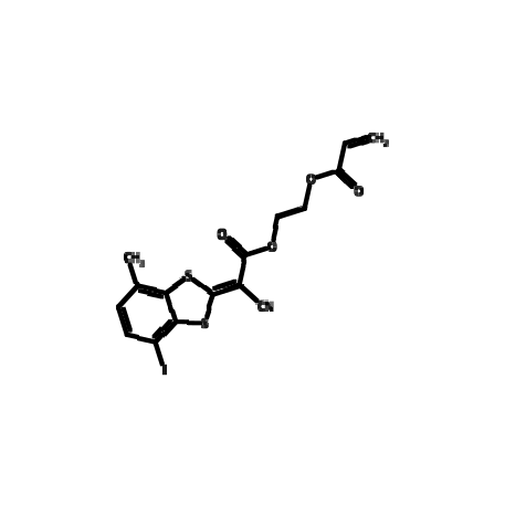 C=CC(=O)OCCOC(=O)/C(C#N)=C1\Sc2c(C)ccc(I)c2S1